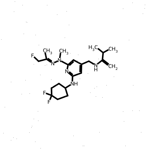 C=C(NCc1cc(NC2CCC(F)(F)CC2)nc(N(C)/N=C(\C)CF)c1)C(C)C